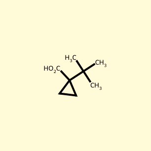 CC(C)(C)C1(C(=O)O)CC1